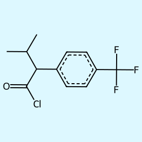 CC(C)C(C(=O)Cl)c1ccc(C(F)(F)F)cc1